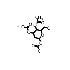 CC(=O)OC1CC(OC(C)=O)C(OC(C)=O)C(CO)O1